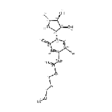 CCOCCCOC(=O)Nc1nc(=O)n([C@@H]2O[C@H](C)[C@@H](O)[C@H]2O)cc1I